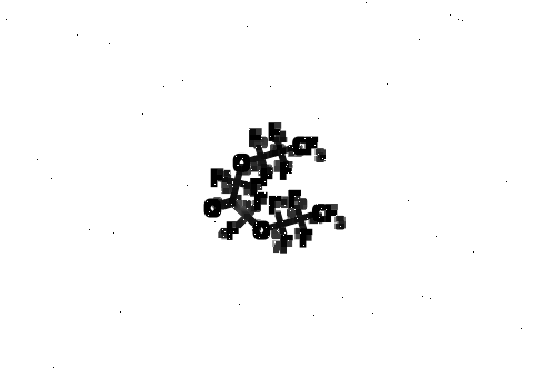 O=C(C(F)(F)OC(F)(F)C(F)(F)C(F)(F)F)C(F)(F)OC(F)(F)C(F)(F)C(F)(F)F